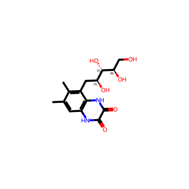 Cc1cc2[nH]c(=O)c(=O)[nH]c2c(C[C@H](O)[C@H](O)[C@H](O)CO)c1C